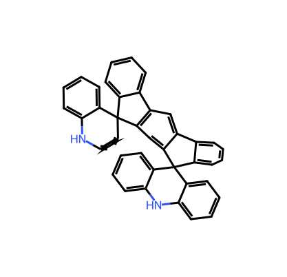 c1ccc2c(c1)Nc1ccccc1C21c2ccccc2-c2cc3c(cc21)C1(c2ccccc2Nc2ccccc21)c1ccccc1-3